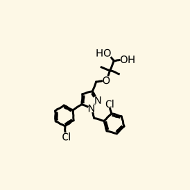 CC(C)(OCc1cc(-c2cccc(Cl)c2)n(Cc2ccccc2Cl)n1)C(O)O